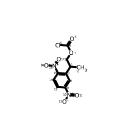 CC(COC(=O)Cl)c1cc([N+](=O)[O-])ccc1[N+](=O)[O-]